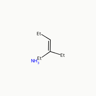 CCC=C(CC)CC.N